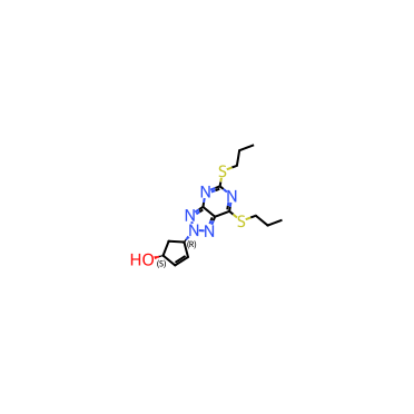 CCCSc1nc(SCCC)c2nn([C@H]3C=C[C@@H](O)C3)nc2n1